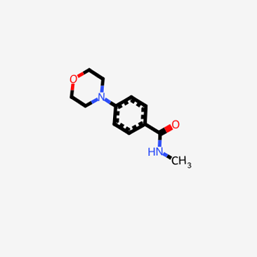 CNC(=O)c1ccc(N2CCOCC2)cc1